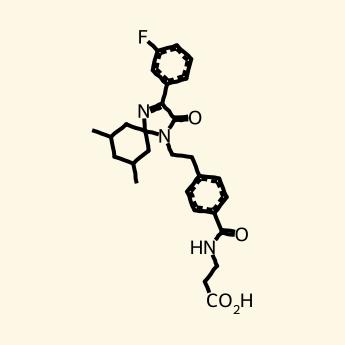 CC1CC(C)CC2(C1)N=C(c1cccc(F)c1)C(=O)N2CCc1ccc(C(=O)NCCC(=O)O)cc1